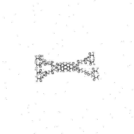 C=C(C)C(=O)OCC(COC(=O)C(=C)C)OCOCCCC(=O)OCC(COC(=O)CCC(=O)OC(COC(=O)C(=C)C)COC(=O)C(=C)C)N1C(=O)c2ccc3c4ccc5c6c(ccc(c7ccc(c2c37)C1O)c64)C(=O)N(C(COC(=O)CCC(=O)OC(COC(=O)C(=C)C)COC(=O)C(=C)C)COC(=O)CCC(=O)OC(COC(=O)C(=C)C)COC(O)C(=C)C)C5=O